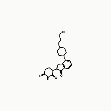 O=C1CCC(N2Cc3c(cccc3N3CCC(CCCO)CC3)C2=O)C(=O)N1